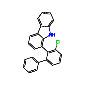 Clc1cccc(-c2ccccc2)c1-c1cccc2c1[nH]c1ccccc12